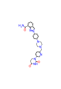 NC(=O)c1cccc2cn(-c3ccc(N4CCN(Cc5ccc(N6CCC(=O)NC6=O)cn5)CC4)cc3)nc12